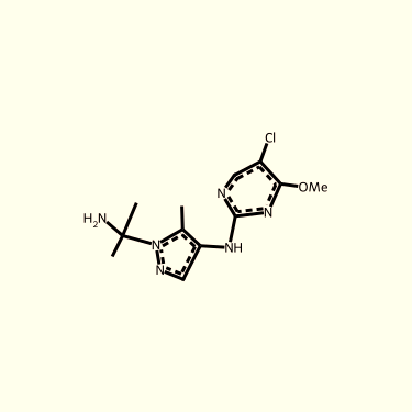 COc1nc(Nc2cnn(C(C)(C)N)c2C)ncc1Cl